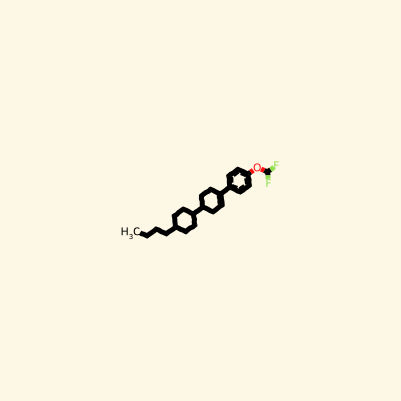 CCCCC1CCC(C2CC=C(c3ccc(OC(F)F)cc3)CC2)CC1